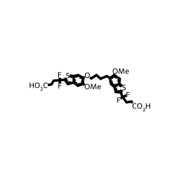 COc1cc2sc(C(F)(F)CCC(=O)O)cc2cc1CCCCOc1cc2sc(C(F)(F)CCC(=O)O)cc2cc1OC